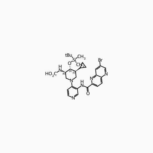 CC(C)(C)[Si](C)(C)O[C@@H]1[C@@H](C2CC2)CN(c2ccncc2NC(=O)c2ccc3ncc(Br)cc3n2)C[C@H]1NC(=O)O